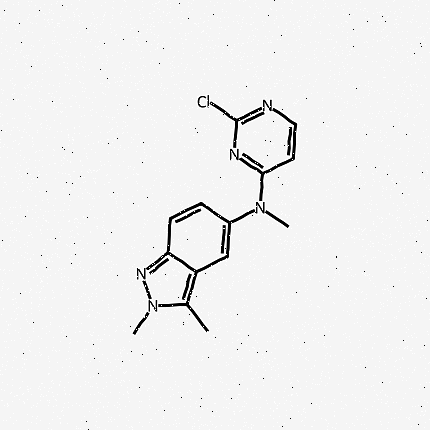 Cc1c2cc(N(C)c3ccnc(Cl)n3)ccc2nn1C